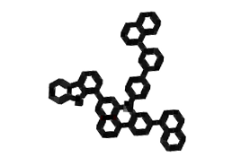 c1ccc(-c2ccc(-c3cccc4ccccc34)cc2N(c2ccc(-c3cccc(-c4cccc5ccccc45)c3)cc2)c2cccc(-c3cccc4c3sc3ccccc34)c2)cc1